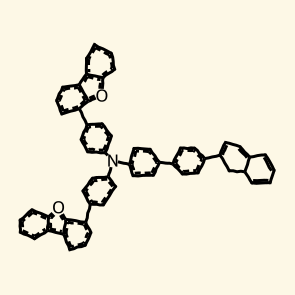 C1=CC2=CC=C(c3ccc(-c4ccc(N(c5ccc(-c6cccc7c6oc6ccccc67)cc5)c5ccc(-c6cccc7c6oc6ccccc67)cc5)cc4)cc3)CC2C=C1